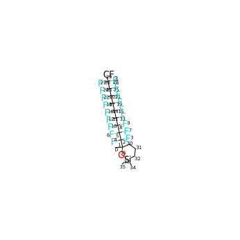 CC1(C(F)(F)C(F)(F)C(F)(F)C(F)(F)C(F)(F)C(F)(F)C(F)(F)C(F)(F)C(F)(F)C(F)(F)F)CCC[Si](C)(C)O1